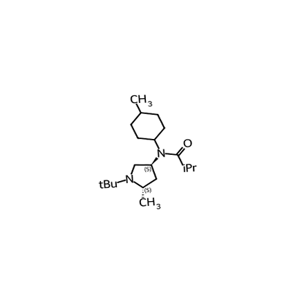 CC1CCC(N(C(=O)C(C)C)[C@H]2C[C@H](C)N(C(C)(C)C)C2)CC1